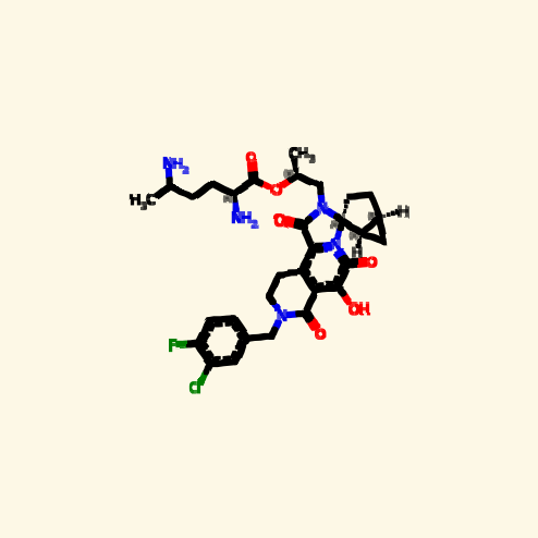 CC(N)CC[C@H](N)C(=O)O[C@@H](C)CN1C(=O)c2c3c(c(O)c(=O)n2[C@@]12CC[C@H]1C[C@H]12)C(=O)N(Cc1ccc(F)c(Cl)c1)CC3